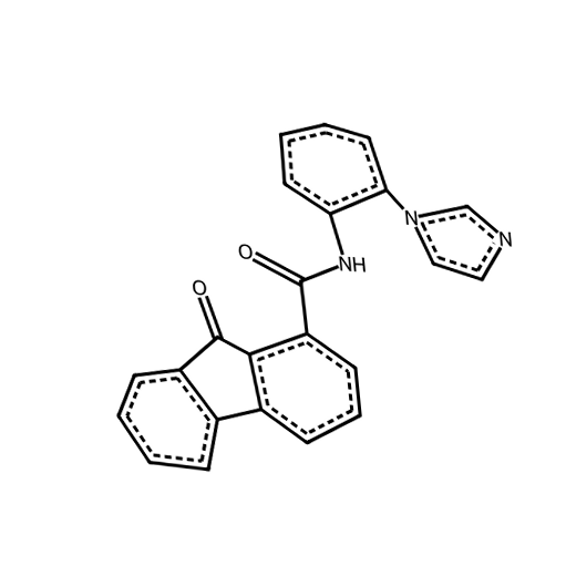 O=C(Nc1ccccc1-n1ccnc1)c1cccc2c1C(=O)c1ccccc1-2